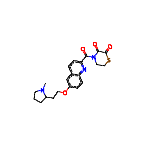 CN1CCCC1CCOc1ccc2nc(C(=O)N3CCSC(=O)C3=O)ccc2c1